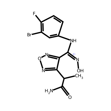 CC(C(N)=O)c1nonc1/C(=N\O)Nc1ccc(F)c(Br)c1